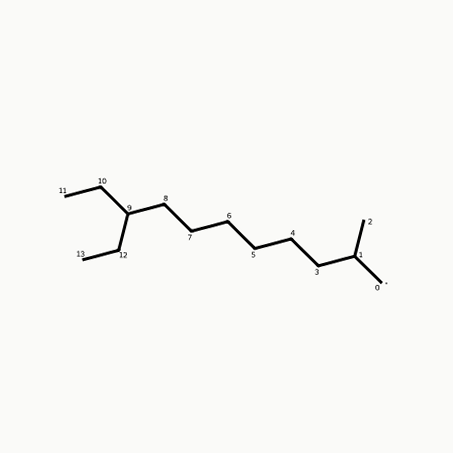 [CH2]C(C)CCCCCCC(CC)CC